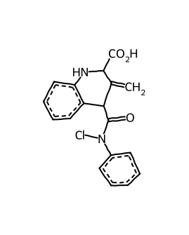 C=C1C(C(=O)O)Nc2ccccc2C1C(=O)N(Cl)c1ccccc1